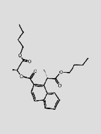 CCCCOC(=O)[C@H](C)OC(=O)c1ccc2ccccc2c1[C@H](C)C(=O)OCCCC